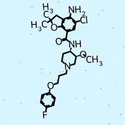 CO[C@H]1CN(CCCOc2ccc(F)cc2)CC[C@H]1NC(=O)c1cc(Cl)c(N)c2c1OC(C)(C)C2